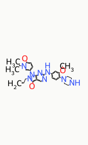 C=CCn1c(=O)c2cnc(Nc3ccc(N4CCNCC4)c(OC)c3)nc2n1-c1ccc(=O)n(C(C)C)c1